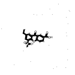 CCc1cc(S(C)(=O)=O)c2oc3ccc(C(=O)O)cc3c(=O)c2c1